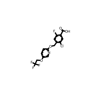 O=C(O)c1cc(Cl)c(COc2ccc(OCC(F)(F)F)cn2)cc1F